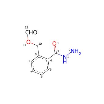 NNC(=O)c1ccccc1CO[C]=O